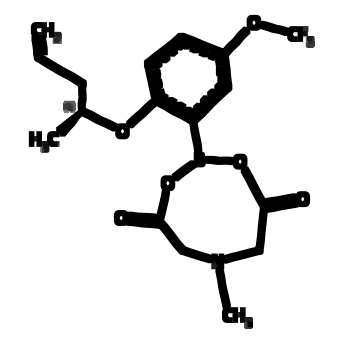 C=CC[C@H](C)Oc1ccc(OC(F)(F)F)cc1B1OC(=O)CN(C)CC(=O)O1